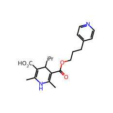 CC1=C(C(=O)O)C(C(C)C)C(C(=O)OCCCc2ccncc2)=C(C)N1